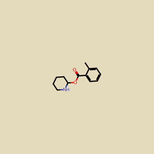 Cc1ccccc1C(=O)OC1CCCCN1